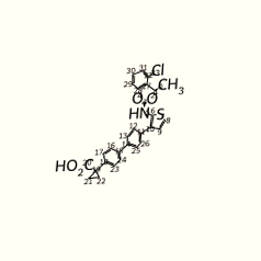 CC(OC(=O)Nc1sccc1-c1ccc(-c2ccc(C3(C(=O)O)CC3)cc2)cc1)c1ccccc1Cl